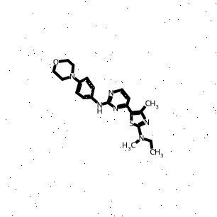 CCN(C)c1nc(C)c(-c2ccnc(Nc3ccc(N4CCOCC4)cc3)n2)s1